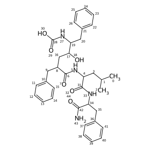 CC(C)CC(NC(=O)C(Cc1ccccc1)CC(O)C(Cc1ccccc1)NC(=O)O)C(=O)NC(Cc1ccccc1)C(N)=O